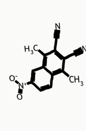 Cc1c(C#N)c(C#N)c(C)c2cc([N+](=O)[O-])ccc12